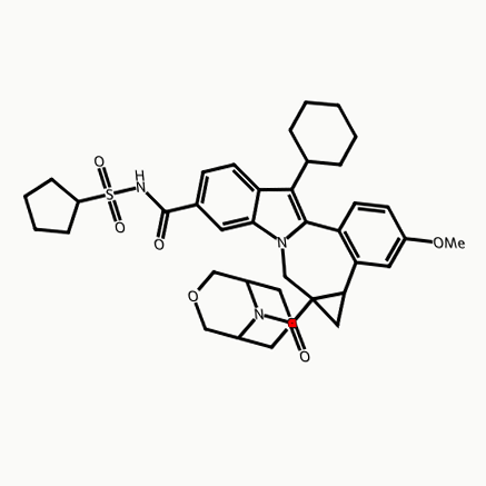 COc1ccc2c(c1)C1CC1(C(=O)N1C3COCC1COC3)Cn1c-2c(C2CCCCC2)c2ccc(C(=O)NS(=O)(=O)C3CCCC3)cc21